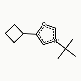 CC(C)(C)[n+]1coc(C2CCC2)c1